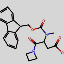 CN(C(=O)OCC1c2ccccc2-c2ccccc21)C(CC(=O)O)C(=O)N1CCC1